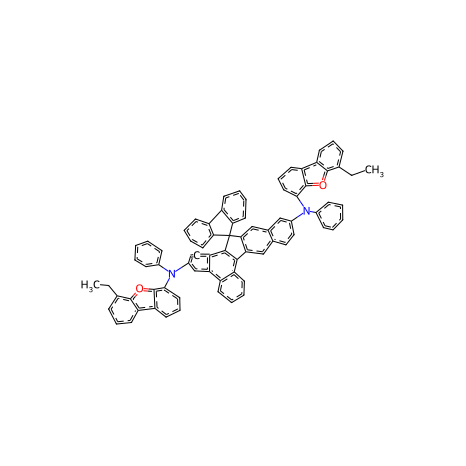 CCc1cccc2c1oc1c(N(c3ccccc3)c3ccc4cc5c(cc4c3)C3(c4ccccc4-c4ccccc43)c3c-5c4ccccc4c4cc(N(c5ccccc5)c5cccc6c5oc5c(CC)cccc56)ccc34)cccc12